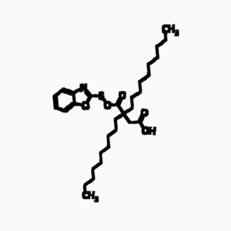 CCCCCCCCCCC(CCCCCCCCCC)(CC(=O)O)C(=O)OSc1nc2ccccc2o1